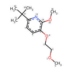 COCCOc1ccc(C(C)(C)C)nc1OC